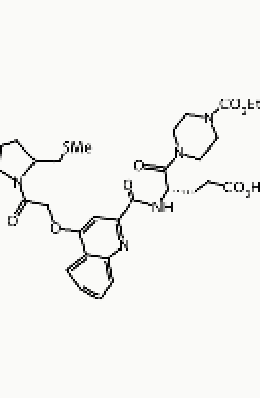 CCOC(=O)N1CCN(C(=O)[C@H](CCC(=O)O)NC(=O)c2cc(OCC(=O)N3CCCC3CSC)c3ccccc3n2)CC1